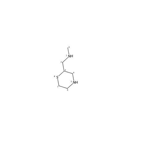 CNCC1CNCCS1